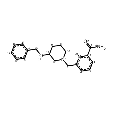 NC(=O)c1cccc(CN2CCCC(OCc3ccccc3)C2)n1